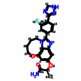 CC[C@H](Oc1cc2c3c(c1)nc(-c1ccc(-c4nc[nH]n4)c(F)c1)n3CCCCO2)C(N)=O